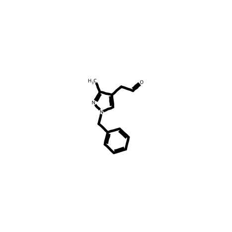 Cc1nn(Cc2ccccc2)cc1CC=O